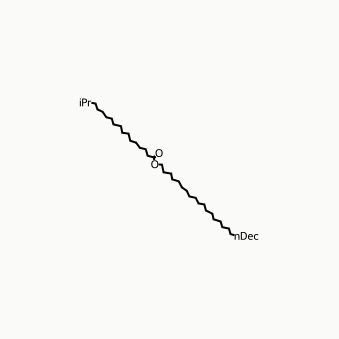 CCCCCCCCCCCCCCCCCCCCCCCCCCCCOC(=O)CCCCCCCCCCCCCCC(C)C